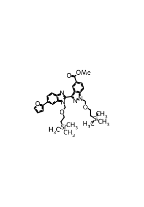 COC(=O)c1ccc2c(c1)c(-c1nc3ccc(-c4ccco4)cc3n1COCC[Si](C)(C)C)nn2COCC[Si](C)(C)C